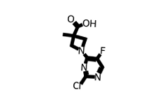 CC1(C(=O)O)CN(c2nc(Cl)ncc2F)C1